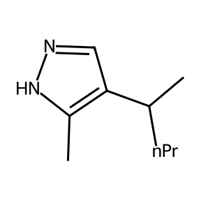 CCCC(C)c1cn[nH]c1C